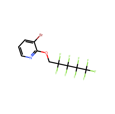 FC(F)(F)C(F)(F)C(F)(F)C(F)(F)COc1ncccc1Br